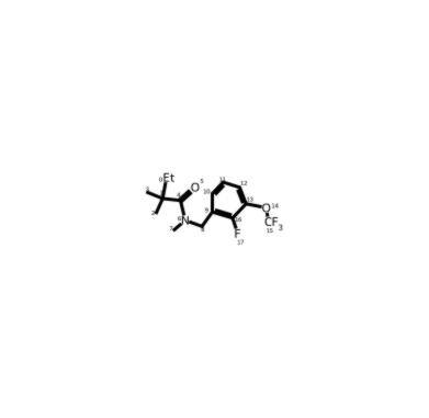 CCC(C)(C)C(=O)N(C)Cc1cccc(OC(F)(F)F)c1F